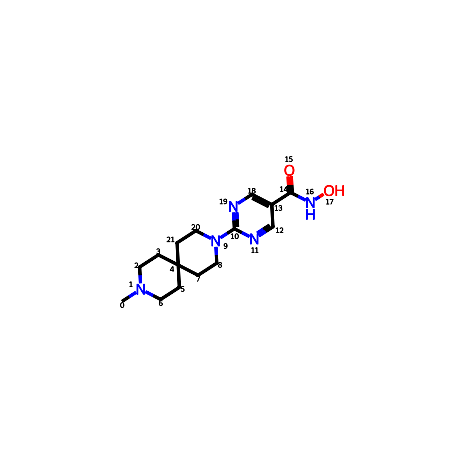 CN1CCC2(CC1)CCN(c1ncc(C(=O)NO)cn1)CC2